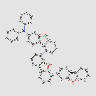 c1ccc(N(c2ccccc2)c2ccc3c(c2)oc2cccc(-c4cccc5c4oc4c(-c6ccc7c(c6)oc6ccccc67)cccc45)c23)cc1